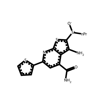 CCC[S+]([O-])c1sc2nc(-c3cccs3)cc(C(N)=O)c2c1N